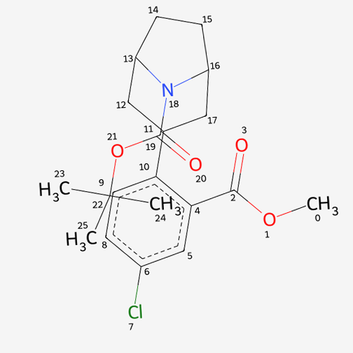 COC(=O)c1cc(Cl)ccc1C1CC2CCC(C1)N2C(=O)OC(C)(C)C